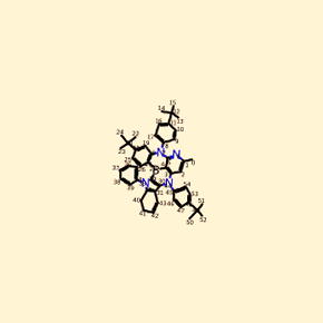 Cc1cc2c3c(n1)N(c1ccc(C(C)(C)C)cc1)c1cc(C(C)(C)C)ccc1B3c1c(c3c(n1-c1ccccc1)CCC=C3)N2c1ccc(C(C)(C)C)cc1